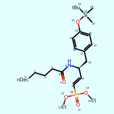 CCCCCCCCCCCCCC(=O)N[C@H](/C=C/P(=O)(OCC)OCC)Cc1ccc(O[Si](C)(C)C(C)(C)C)cc1